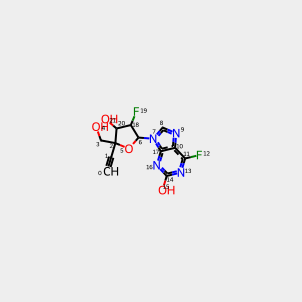 C#CC1(CO)OC(n2cnc3c(F)nc(O)nc32)C(F)C1O